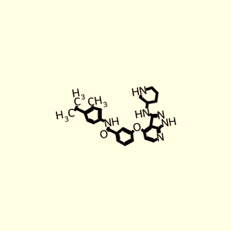 Cc1cc(NC(=O)c2cccc(Oc3ccnc4[nH]nc(NC5CCCNC5)c34)c2)ccc1C(C)C